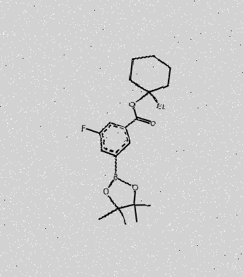 CCC1(OC(=O)c2cc(F)cc(B3OC(C)(C)C(C)(C)O3)c2)CCCCC1